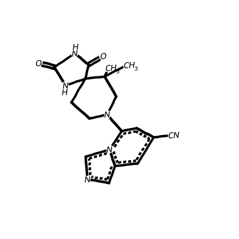 CC1(C)CN(c2cc(C#N)cc3cncn23)CCC12NC(=O)NC2=O